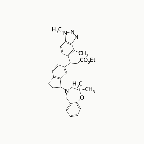 CCOC(=O)CC(c1ccc2c(c1)C(N1Cc3ccccc3OC(C)(C)C1)CC2)c1ccc2c(nnn2C)c1C